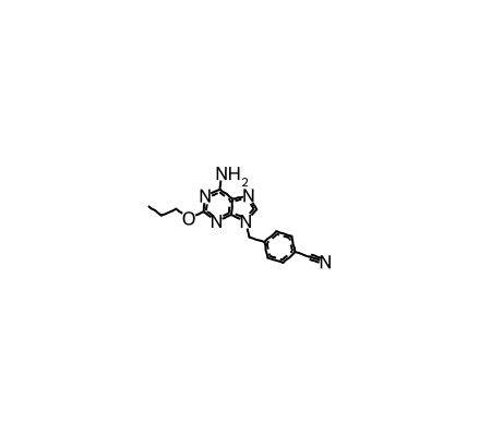 CCCOc1nc(N)c2ncn(Cc3ccc(C#N)cc3)c2n1